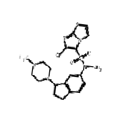 CN1CCN(C2CCc3ccc(N(C)S(=O)(=O)c4c(Cl)nc5sccn45)cc32)CC1